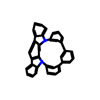 c1cc2cc(c1)c1cccc(c1)n1c3ccccc3c3cc4c5ccccc5n(c5cccc2c5)c4cc31